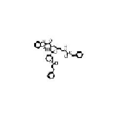 O=C(NCCCCC(NC(=O)[C@H]1CCCN(C(=O)CCc2ccccc2)C1)C(=O)c1nc2ccccc2s1)OCc1ccccc1